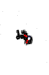 COCCOc1ccccc1N1CCN(C(=O)[C@]2(Oc3csc(C(F)(F)F)c3)CCCN3C(=O)c4c(C(F)(F)F)ccnc4OCC/C=C\C[C@@H]32)CC1